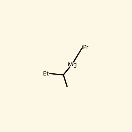 CC[CH](C)[Mg][CH](C)C